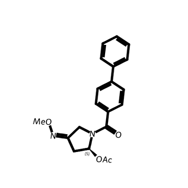 CON=C1C[C@H](OC(C)=O)N(C(=O)c2ccc(-c3ccccc3)cc2)C1